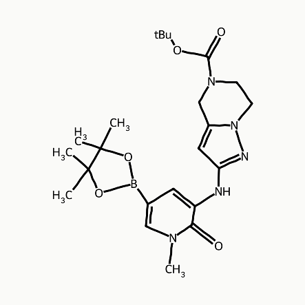 Cn1cc(B2OC(C)(C)C(C)(C)O2)cc(Nc2cc3n(n2)CCN(C(=O)OC(C)(C)C)C3)c1=O